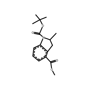 COC(=O)c1cccc2c1CC(C)N2C(=O)OC(C)(C)C